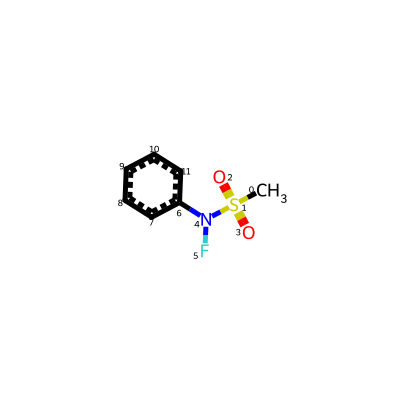 CS(=O)(=O)N(F)c1cc[c]cc1